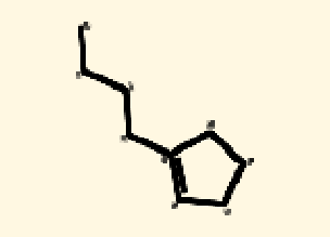 CCCCC1=CCCC1